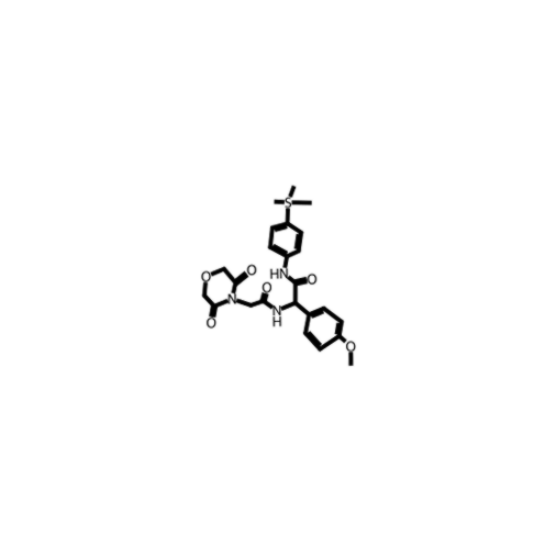 COc1ccc(C(NC(=O)CN2C(=O)COCC2=O)C(=O)Nc2ccc(S(C)(C)C)cc2)cc1